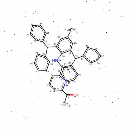 CC(=O)c1cccc(C(C)Nc2c(C(c3ccccc3)c3ccccc3)cc(C)cc2C(c2ccccc2)c2ccccc2)n1